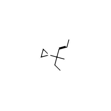 CC=CC(C)(CC)B1CC1